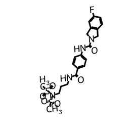 CS(=O)(=O)N(CCCNC(=O)c1ccc(NC(=O)N2Cc3ccc(F)cc3C2)cc1)S(C)(=O)=O